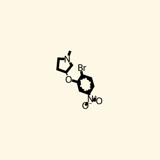 CN1CC[C@@H](Oc2cc([N+](=O)[O-])ccc2Br)C1